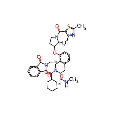 CNC(=O)[C@@H]1CCCCC1C(=O)N1CCc2cccc(OC3CCN(C(=O)c4sc(C)nc4C)C3)c2[C@H]1CN1C(=O)c2ccccc2C1=O